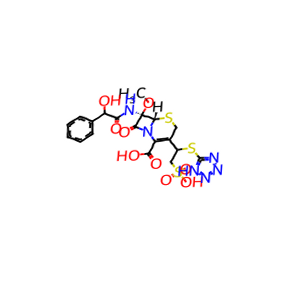 CO[C@]1(NC(=O)C(O)c2ccccc2)C(=O)N2C(C(=O)O)=C(C(CS(=O)(=O)O)Sc3nnn[nH]3)CS[C@H]21